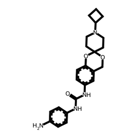 Nc1ccc(NC(=O)Nc2ccc3c(c2)COC2(CCN(C4CCC4)CC2)O3)cc1